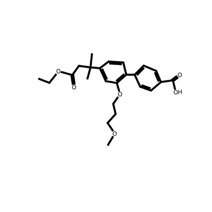 CCOC(=O)CC(C)(C)c1ccc(-c2ccc(C(=O)O)cc2)c(OCCCOC)c1